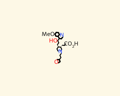 COc1ccc2nccc([C@H](O)CC[C@@H]3CCN(CCCc4ccoc4)C[C@H]3CCC(=O)O)c2c1